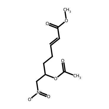 COC(=O)/C=C/CCC(C[N+](=O)[O-])OC(C)=O